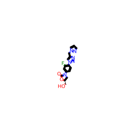 O=C1O[C@@H](CO)CN1c1ccc(-n2cc(Cn3cccn3)nn2)c(F)c1